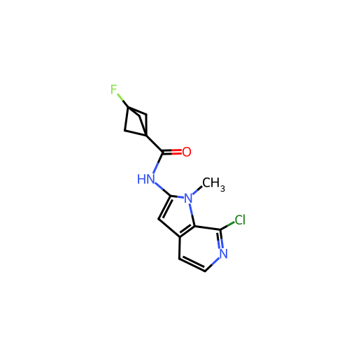 Cn1c(NC(=O)C23CC(F)(C2)C3)cc2ccnc(Cl)c21